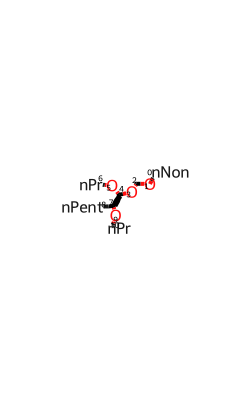 CCCCCCCCCOCOC(OCCC)=C(CCCCC)OCCC